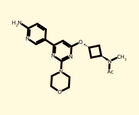 CC(=O)N(C)[C@H]1C[C@H](Oc2cc(-c3ccc(N)nc3)nc(N3CCOCC3)n2)C1